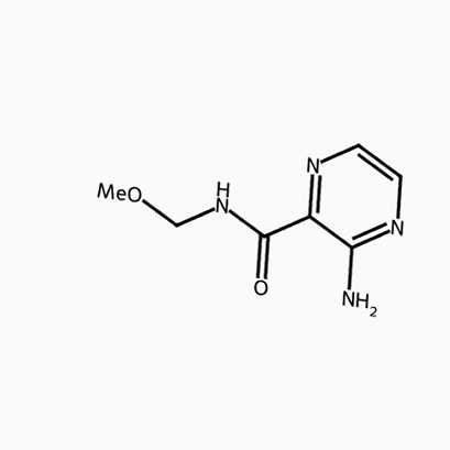 COCNC(=O)c1nccnc1N